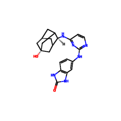 O=c1[nH]c2ccc(Nc3nccc(N[C@H]4C5CC6CC4C[C@](O)(C6)C5)n3)cc2[nH]1